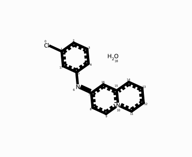 Clc1cccc(N=c2ccn3ccccc3c2)c1.O